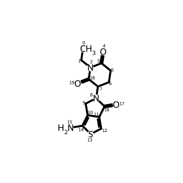 CCN1C(=O)CCC(N2Cc3c(csc3N)C2=O)C1=O